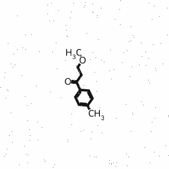 COCCC(=O)c1ccc(C)cc1